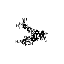 C#CCNC1(C)CCN(C2CCN(c3nc(C(COCNC(=O)C(CC(N)=O)NC(=O)O)(OC4CC4)c4ccccc4)c4cc(-c5cn(C)c(=O)c6[nH]ccc56)ccc4n3)CC2)CC1